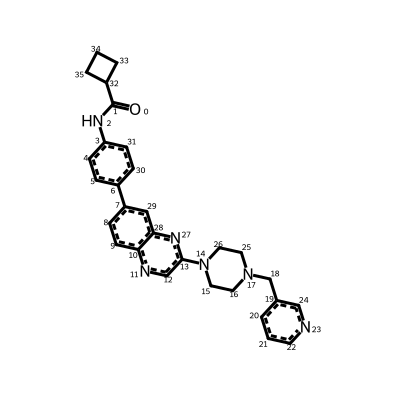 O=C(Nc1ccc(-c2ccc3ncc(N4CCN(Cc5cccnc5)CC4)nc3c2)cc1)C1CCC1